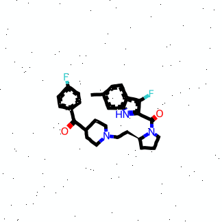 Cc1ccc2c(F)c(C(=O)N3CCC[C@H]3CCN3CCC(C(=O)c4ccc(F)cc4)CC3)[nH]c2c1